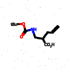 C=CCC(CNC(=O)OC(C)(C)C)C(=O)O